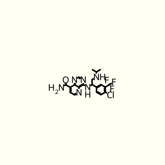 CC(C)NCC(Nc1ncnc2c(C(N)=O)ccnc12)c1ccc(Cl)c(C(F)(F)F)c1